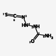 NC(=O)NNN=C=S